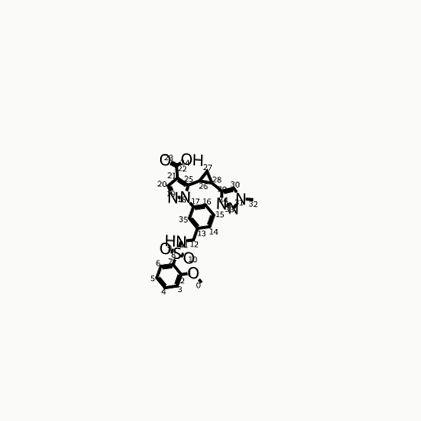 COc1ccccc1S(=O)(=O)NCc1cccc(-n2ncc(C(=O)O)c2C2CC2c2cn(C)nn2)c1